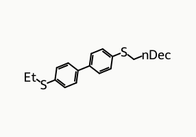 CCCCCCCCCCCSc1ccc(-c2ccc(SCC)cc2)cc1